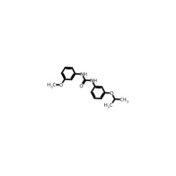 COc1cccc(NC(=O)Nc2cccc(OC(C)C)c2)c1